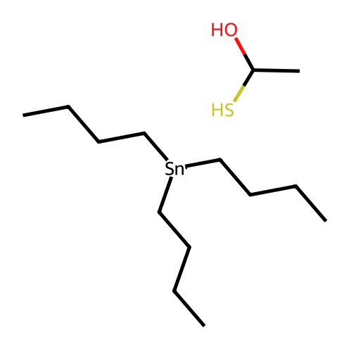 CC(O)S.CCC[CH2][Sn]([CH2]CCC)[CH2]CCC